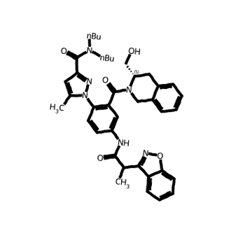 CCCCN(CCCC)C(=O)c1cc(C)n(-c2ccc(NC(=O)C(C)c3noc4ccccc34)cc2C(=O)N2Cc3ccccc3C[C@H]2CO)n1